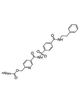 CCCCCCCCCC(=O)OCc1ccc(C(=O)NS(=O)(=O)c2ccc(C(=O)NCCc3ccccc3)cc2)cn1